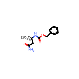 CCOC(=O)[C@H](CC(N)=O)NC(=O)OCc1ccccc1